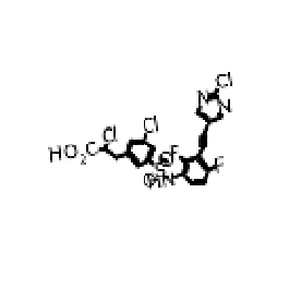 O=C(O)C(Cl)Cc1cc(Cl)cc(S(=O)(=O)Nc2ccc(F)c(C#Cc3cnc(Cl)nc3)c2F)c1